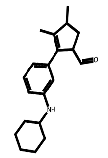 CC1=C(c2cccc(NC3CCCCC3)c2)C(C=O)CC1C